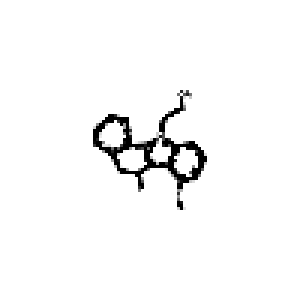 COc1cccc2c1c1c(n2CCO)-c2ccccc2CC1C